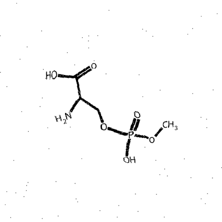 COP(=O)(O)OCC(N)C(=O)O